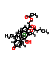 CCCC(=O)O[C@]1(C(=O)COC(C)=O)CC[C@H]2[C@@H]3CC(C)C4=CC(=O)C=C[C@]4(C)[C@@]3(Cl)[C@@H](O)C[C@@]21C